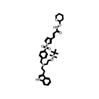 CC(C)(C)[Si](C)(C)OCCN(CCc1c[nH]c2ccccc12)Cc1ccc(S(=O)(=O)n2ccc(/C=C/C(=O)NOC3CCCCO3)c2)cc1